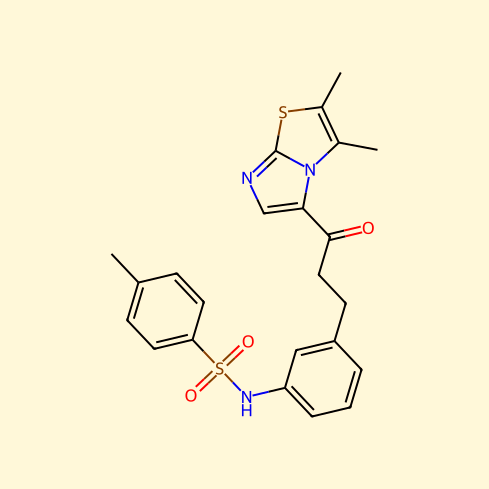 Cc1ccc(S(=O)(=O)Nc2cccc(CCC(=O)c3cnc4sc(C)c(C)n34)c2)cc1